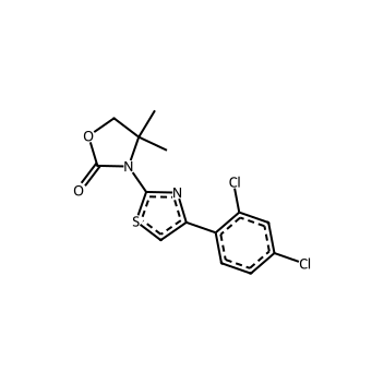 CC1(C)COC(=O)N1c1nc(-c2ccc(Cl)cc2Cl)cs1